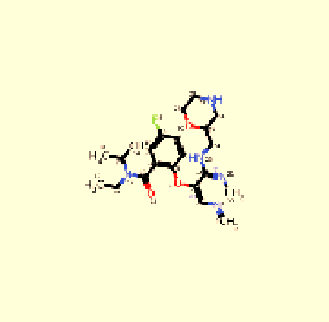 C=N/C=C(Oc1ccc(F)cc1C(=O)N(CC)C(C)C)\C(=N/C)NCC1CNCCO1